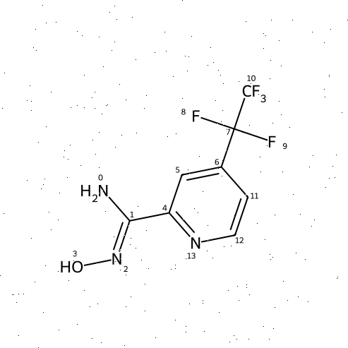 NC(=NO)c1cc(C(F)(F)C(F)(F)F)ccn1